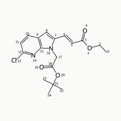 CCOC(=O)/C=C/c1cc2ccc(Cl)nc2n1CC(=O)OC(C)(C)C